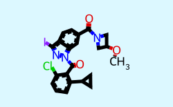 COC1CN(C(=O)c2ccc3c(I)nn(C(=O)c4c(Cl)cccc4C4CC4)c3c2)C1